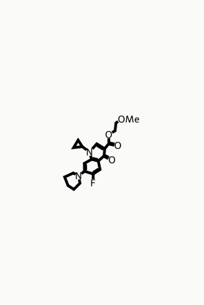 COCCOC(=O)c1cn(C2CC2)c2cc(N3CCCCC3)c(F)cc2c1=O